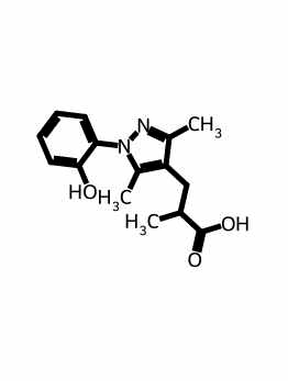 Cc1nn(-c2ccccc2O)c(C)c1CC(C)C(=O)O